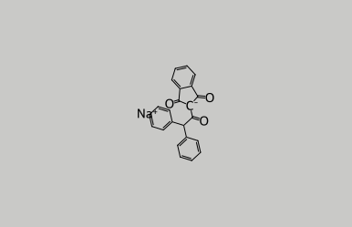 O=C1c2ccccc2C(=O)[C-]1C(=O)C(c1ccccc1)c1ccccc1.[Na+]